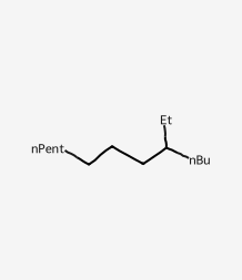 C[CH]CCC(CC)CCCCCCCC